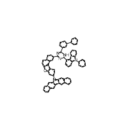 c1ccc(-c2cccc(C3=NC(c4ccc5ccc6oc7cc(-n8c9cc%10ccccc%10cc9c9cc%10ccccc%10cc98)ccc7c6c5c4)=NC(c4cccc5c4c4ccccc4n5-c4ccccc4)N3)c2)cc1